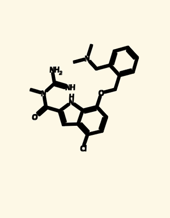 CN(C)Cc1ccccc1COc1ccc(Cl)c2cc(C(=O)N(C)C(=N)N)[nH]c12